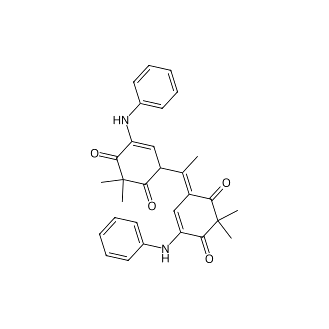 CC(=C1C=C(Nc2ccccc2)C(=O)C(C)(C)C1=O)C1C=C(Nc2ccccc2)C(=O)C(C)(C)C1=O